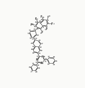 Fc1c(F)c(F)c2c(F)c(-c3cccc(-c4ccc5cc(-c6nc(-c7ccccc7)nc(-c7ccccc7)n6)ccc5c4)c3)c(F)c(F)c2c1F